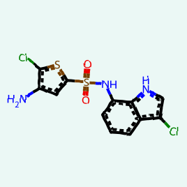 Nc1cc(S(=O)(=O)Nc2cccc3c(Cl)c[nH]c23)sc1Cl